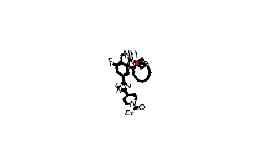 CCC(=O)N1CCC(c2noc(C3CC(F)C4CNN(C5COC5)C4(C4CCCCCCCC4)C3)n2)CC1